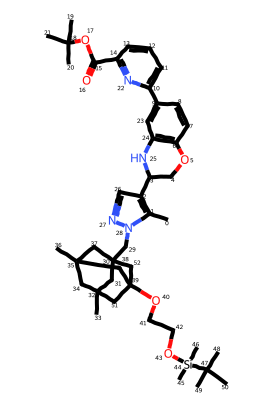 Cc1c(C2COc3ccc(-c4cccc(C(=O)OC(C)(C)C)n4)cc3N2)cnn1CC12CC3(C)CC(C)(C1)CC(OCCO[Si](C)(C)C(C)(C)C)(C3)C2